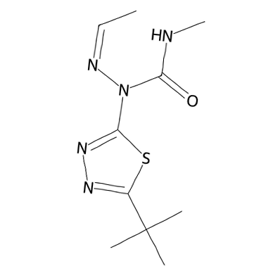 C/C=N\N(C(=O)NC)c1nnc(C(C)(C)C)s1